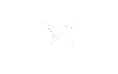 Cc1ncc(-c2cc(CC(=O)N3C[C@H](F)C[C@H]3C(=O)Nc3cccc(-c4ccccc4Cl)c3F)cc(OCC(=O)O)c2)cn1